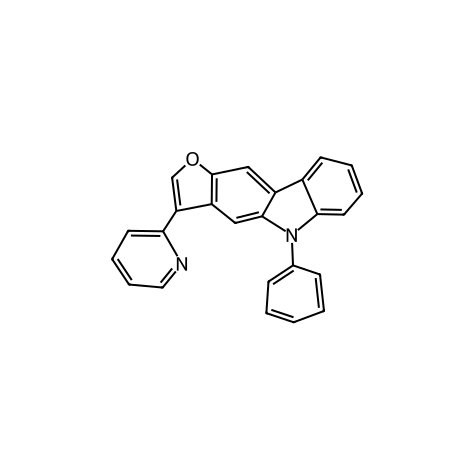 c1ccc(-n2c3ccccc3c3cc4occ(-c5ccccn5)c4cc32)cc1